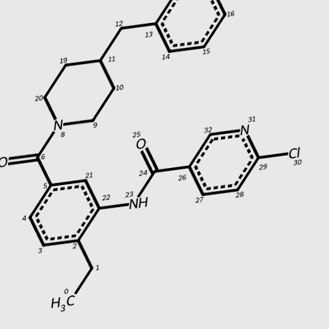 CCc1ccc(C(=O)N2CCC(Cc3ccccc3)CC2)cc1NC(=O)c1ccc(Cl)nc1